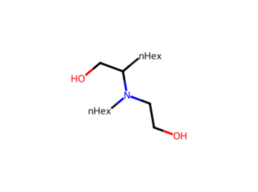 CCCCCCC(CO)N(CCO)CCCCCC